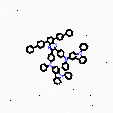 c1ccc(-c2ccc(-c3ccc(-c4ccc(-c5ccccc5)cc4)c4nc(-c5ccc(N(c6ccccc6)c6ccc7c(c6)c6ccccc6n7-c6ccccc6)cc5)c(-c5ccc(N(c6ccccc6)c6ccc7c(c6)c6ccccc6n7-c6ccccc6)cc5)nc34)cc2)cc1